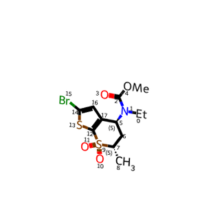 CCN(C(=O)OC)[C@H]1C[C@H](C)S(=O)(=O)c2sc(Br)cc21